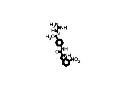 C/C(=N\NC(=N)N)c1ccc(NC(=O)c2cc3cccc([N+](=O)[O-])c3[nH]2)cc1